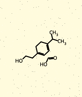 CC(C)C1=CC=C(CCO)CC1.O=CO